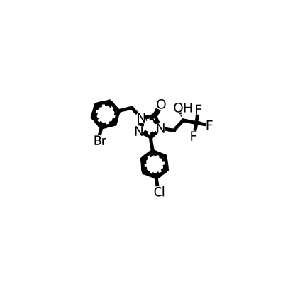 O=c1n(Cc2cccc(Br)c2)nc(-c2ccc(Cl)cc2)n1C[C@H](O)C(F)(F)F